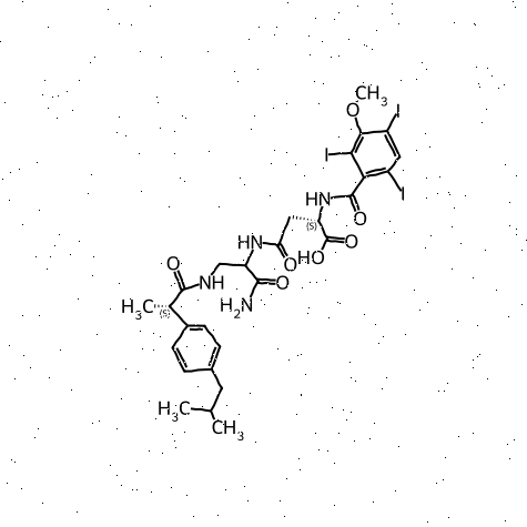 COc1c(I)cc(I)c(C(=O)N[C@@H](CC(=O)NC(CNC(=O)[C@@H](C)c2ccc(CC(C)C)cc2)C(N)=O)C(=O)O)c1I